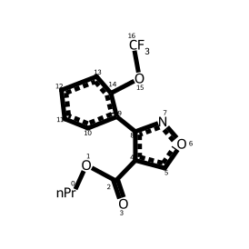 CCCOC(=O)c1conc1-c1ccccc1OC(F)(F)F